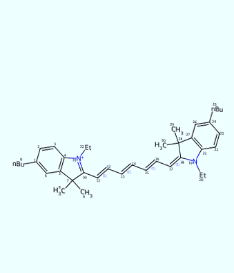 CCCCc1ccc2c(c1)C(C)(C)C(/C=C/C=C/C=C/C=C1/N(CC)c3ccc(CCCC)cc3C1(C)C)=[N+]2CC